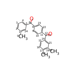 Cc1cccc(C(=O)c2ccc(C(=O)c3ccc(C)c(C)c3)cc2)c1